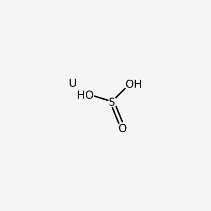 O=S(O)O.[U]